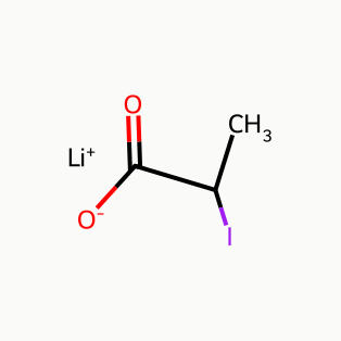 CC(I)C(=O)[O-].[Li+]